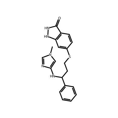 Cn1cnc(NC(CCSc2ccc3c(=O)[nH][nH]c3c2)c2ccccc2)c1